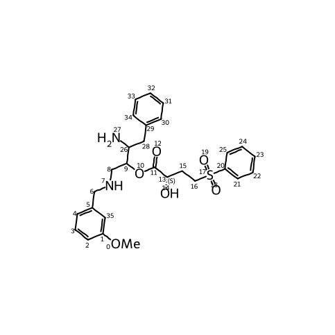 COc1cccc(CNCC(OC(=O)[C@@H](O)CCS(=O)(=O)c2ccccc2)C(N)Cc2ccccc2)c1